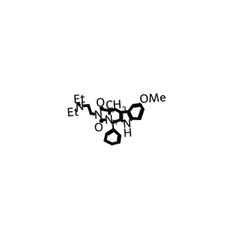 CCN(CC)CCN1C(=O)N2[C@H](C3=CCCC=C3)c3[nH]c4ccc(OC)cc4c3C[C@@]2(C)C1=O